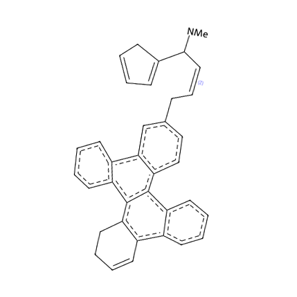 CNC(/C=C\Cc1ccc2c(c1)c1ccccc1c1c3c(c4ccccc4c21)C=CCC3)C1=CC=CC1